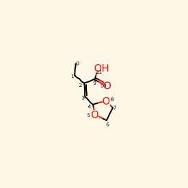 CCC(=CC1OCCO1)C(=O)O